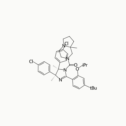 CC(C)Oc1cc(C(C)(C)C)ccc1C1=N[C@@](C)(c2ccc(Cl)cc2)[C@@](C)(c2ccc(Cl)cc2)N1C(=O)N1CCN2CCCC2(C)C1